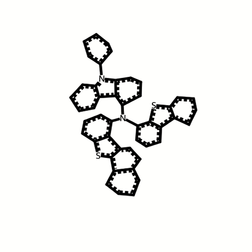 c1ccc(-n2c3ccccc3c3c(N(c4cccc5c4sc4ccccc45)c4cccc5sc6c7ccccc7ccc6c45)cccc32)cc1